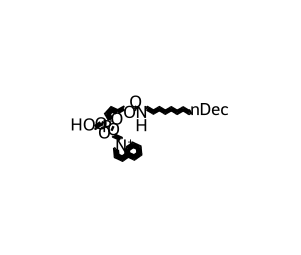 CCCCCCCCCCCCCCCCCCNC(=O)OCc1ccc(P(=O)(OCO)OCC[n+]2cccc3ccccc32)o1